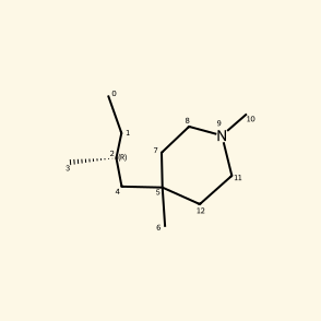 CC[C@@H](C)CC1(C)CCN(C)CC1